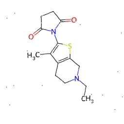 CCN1CCc2c(sc(N3C(=O)CCC3=O)c2C)C1